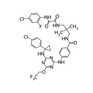 CC(C)(CNC(=O)C(=O)Nc1ccc(Cl)cc1F)CNC(=O)c1ccc(Nc2nc(NC3(c4ccc(Cl)cc4)CC3)nc(OCC(F)(F)F)n2)cc1